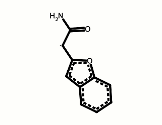 NC(=O)[CH]c1cc2ccccc2o1